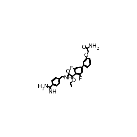 CCOC(C(=O)NCc1ccc(C(=N)N)cc1)c1c(F)cc(-c2cccc(OCC(N)=O)c2)cc1F